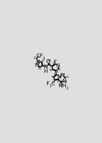 Cc1ncc(-c2cc(C(F)(F)F)c3c(N)ncnn23)cc1C(=O)Nc1cnn(CC(F)(F)F)c1